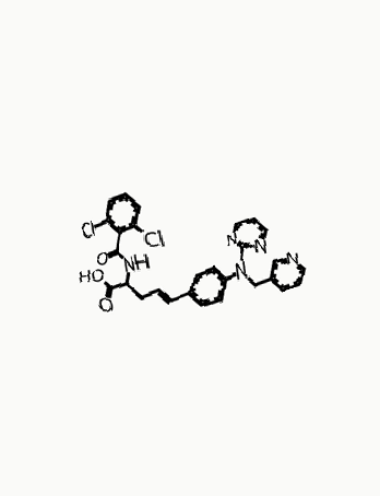 O=C(NC(C/C=C/c1ccc(N(Cc2cccnc2)c2ncccn2)cc1)C(=O)O)c1c(Cl)cccc1Cl